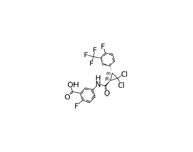 O=C(O)c1cc(NC(=O)[C@H]2[C@H](c3ccc(F)c(C(F)(F)F)c3)C2(Cl)Cl)ccc1F